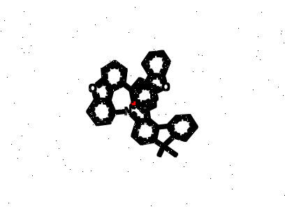 CC1(C)c2ccccc2-c2c1ccc1c2c2ccccc2n1-c1cccc2oc3cccc(-c4cccc5oc6ccccc6c45)c3c12